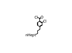 CCCCCCCCCCc1ccc(C(=O)Cl)c(Cl)c1